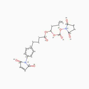 CCCC(OC(=O)CCCc1ccc(N2C(=O)C=CC2=O)cc1)OC(=O)ON1C(=O)CCC1=O